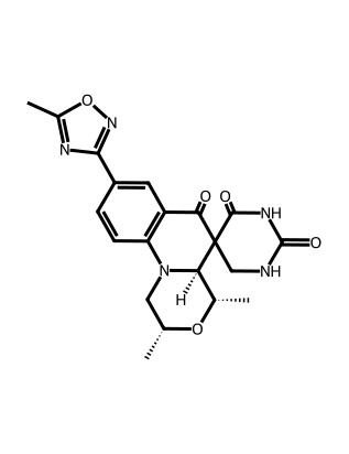 Cc1nc(-c2ccc3c(c2)C(=O)C2(CNC(=O)NC2=O)[C@H]2[C@H](C)O[C@H](C)CN32)no1